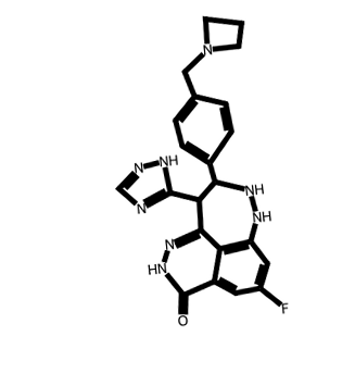 O=c1[nH]nc2c3c(cc(F)cc13)NNC(c1ccc(CN3CCC3)cc1)C2c1ncn[nH]1